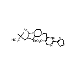 CCOC(=O)C1=C(CN2CCN3C(C2)CN(CC(C)(C)C(=O)O)N3C(C)=O)NC(c2nccs2)=NC1